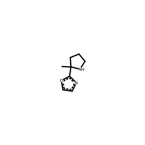 CC1(c2ncco2)CCCN1